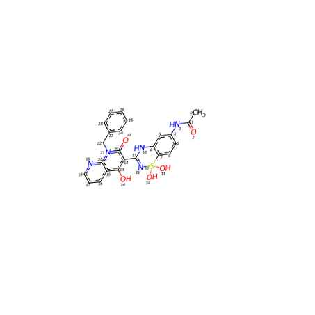 CC(=O)Nc1ccc2c(c1)NC(c1c(O)c3cccnc3n(Cc3ccccc3)c1=O)=NS2(O)O